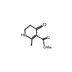 COC(=O)C1=C(C)NCCC1=O